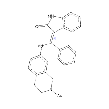 CC(=O)N1CCc2ccc(N/C(=C3\C(=O)Nc4ccccc43)c3ccccc3)cc2C1